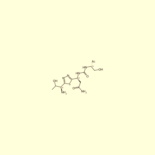 CC(=O)[C@H](CO)NC(=O)N[C@@H](CC(N)=O)c1nnc([C@@H](N)C(C)O)s1